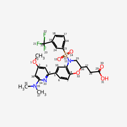 COc1cc(-c2ccc3c(c2)N(S(=O)(=O)c2cccc(C(F)(F)F)c2)CC(CCC(=O)O)O3)nc(N(C)C)c1